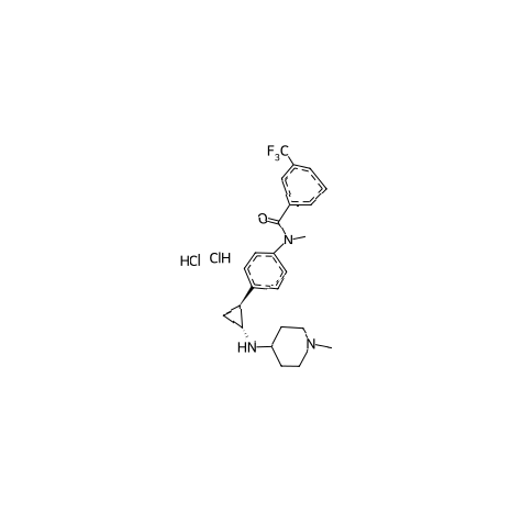 CN1CCC(N[C@@H]2C[C@H]2c2ccc(N(C)C(=O)c3cccc(C(F)(F)F)c3)cc2)CC1.Cl.Cl